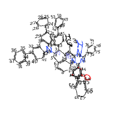 C/C(=C\C(=C(/Cc1ccc(-c2ccccc2)cc1)n1c2ccc(-c3ccccc3)cc2c2cc(-c3ccccc3)ccc21)c1ccc(-c2ccccc2)cc1)C1=NC(c2ccc3c(c2)oc2ccccc23)=NC(c2ccccc2)N1